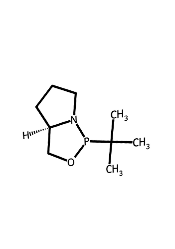 CC(C)(C)P1OC[C@H]2CCCN21